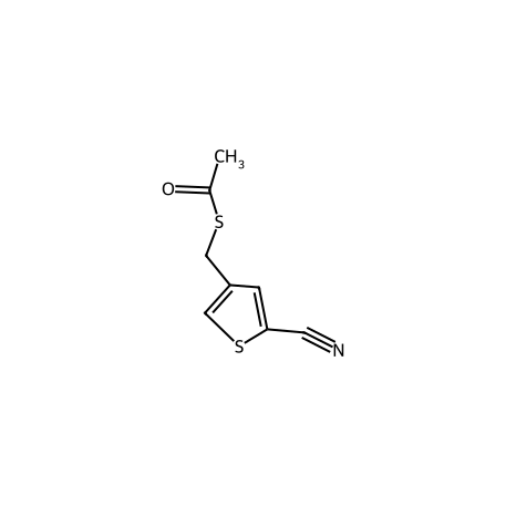 CC(=O)SCc1csc(C#N)c1